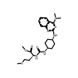 COC(=O)[C@H](CCSC)NC(=O)N[C@H]1CC[C@@H](Nc2nc(N(C)C)c3ccccc3n2)CC1